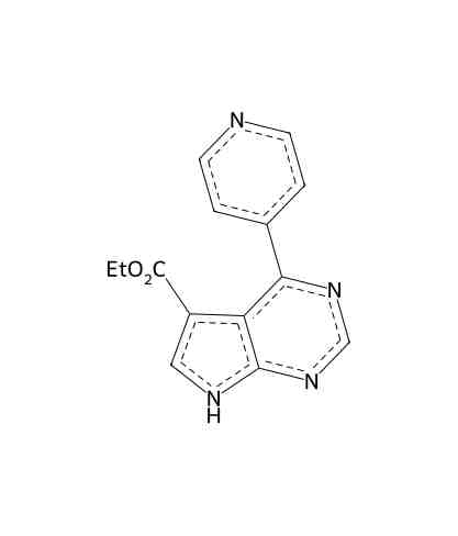 CCOC(=O)c1c[nH]c2ncnc(-c3ccncc3)c12